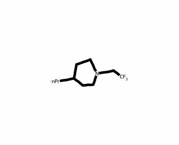 CC[CH]C1CCN(CC(F)(F)F)CC1